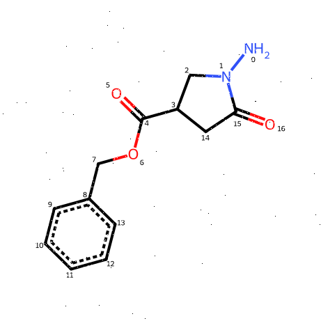 NN1CC(C(=O)OCc2ccccc2)CC1=O